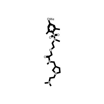 COc1cc(C)c(S(=O)(=O)N(C)CCOCC(=O)N(C)CC2CCN(CCN(C)C)C2)c(C)c1